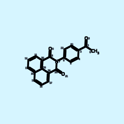 CC(=O)c1ccc(N2C(=O)c3cccc4cccc(c34)C2=O)cc1